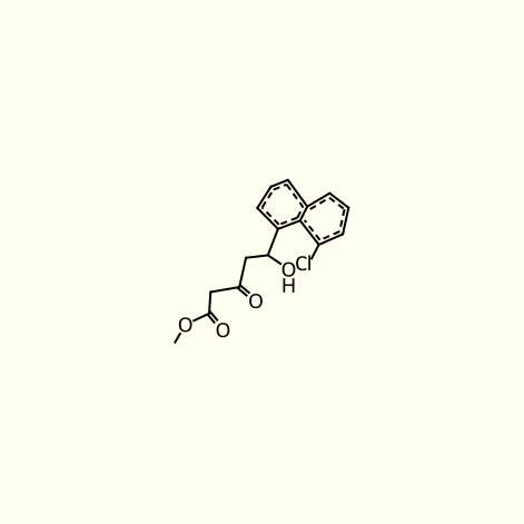 COC(=O)CC(=O)CC(O)c1cccc2cccc(Cl)c12